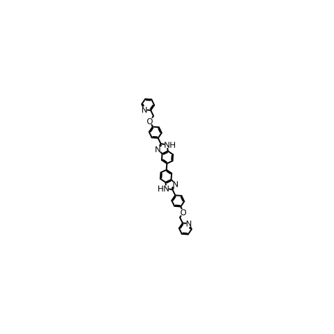 c1ccc(COc2ccc(-c3nc4cc(-c5ccc6[nH]c(-c7ccc(OCc8ccccn8)cc7)nc6c5)ccc4[nH]3)cc2)nc1